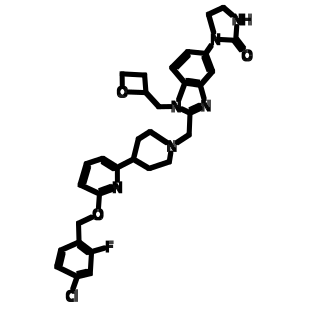 O=C1NCCN1c1ccc2c(c1)nc(CN1CCC(c3cccc(OCc4ccc(Cl)cc4F)n3)CC1)n2CC1CCO1